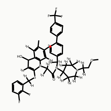 [2H]C1=C(SC([2H])([2H])c2cccc(F)c2F)N(C([2H])([2H])C(=O)N(C([2H])([2H])c2ccc(-c3ccc(C(F)(F)F)cc3)cc2)C2([2H])C([2H])([2H])C([2H])([2H])N(C([2H])([2H])COC)C([2H])([2H])C2([2H])[2H])c2c([2H])c([2H])c(C)c([2H])c2C1O